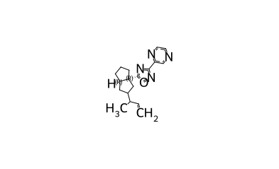 C=CC(C)C1C[C@H]2CCC[C@@]2(c2nc(-c3cnccn3)no2)C1